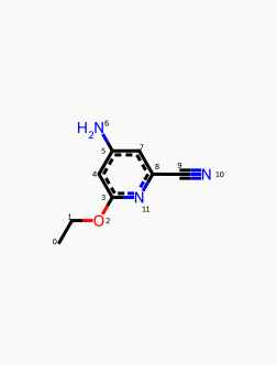 CCOc1cc(N)cc(C#N)n1